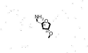 CO[C@H]1CO[C@@H](CN)C1